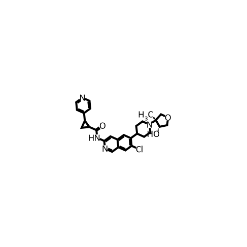 C[C@@]1(N2CCC(c3cc4cc(NC(=O)C5CC5c5ccncc5)ncc4cc3Cl)CC2)COC[C@@H]1O